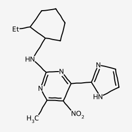 CCC1CCCCC1Nc1nc(C)c([N+](=O)[O-])c(-c2ncc[nH]2)n1